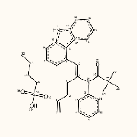 C=CC=CC(=Cc1cccc2[nH]c3ccccc3c12)N(C(=O)C(C)(C)C)c1ccccc1.CCCCS(=O)(=O)O